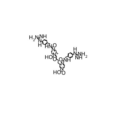 N=C(N)Nc1ccc(CNC(=O)N2CC[N+](CCCCC3CN(C(=O)O)CCN3C(=O)NCc3ccc(NC(=N)N)cc3)(C(=O)O)CC2)cc1